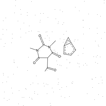 CC(=O)C1C(=O)N(C)C(=O)N(C)C1=O.c1cc2cc-2c1